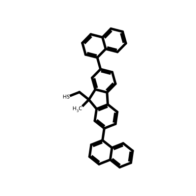 CC1(CS)c2cc(-c3cccc4ccccc34)ccc2-c2ccc(-c3cccc4ccccc34)cc21